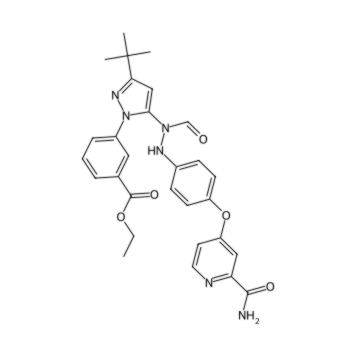 CCOC(=O)c1cccc(-n2nc(C(C)(C)C)cc2N(C=O)Nc2ccc(Oc3ccnc(C(N)=O)c3)cc2)c1